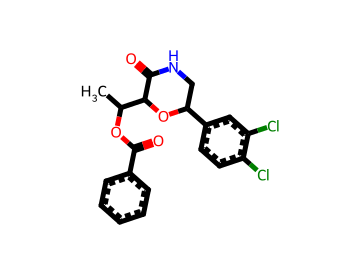 CC(OC(=O)c1ccccc1)C1OC(c2ccc(Cl)c(Cl)c2)CNC1=O